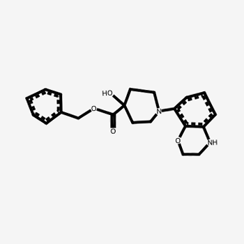 O=C(OCc1ccccc1)C1(O)CCN(c2cccc3c2OCCN3)CC1